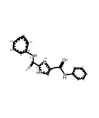 O=C(Nc1ccccc1)c1c[nH]c(C(=O)Nc2ccccc2)n1